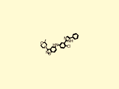 C[C@H]1CN(c2noc3ccc(Nc4ccc(Cl)c(-c5ncc(-c6ccccc6)[nH]5)c4)cc23)CCO1